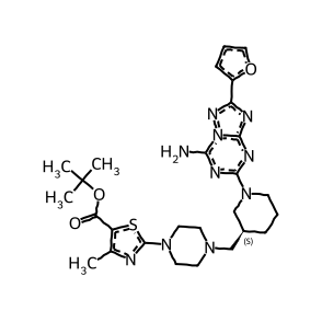 Cc1nc(N2CCN(C[C@@H]3CCCN(c4nc(N)n5nc(-c6ccco6)nc5n4)C3)CC2)sc1C(=O)OC(C)(C)C